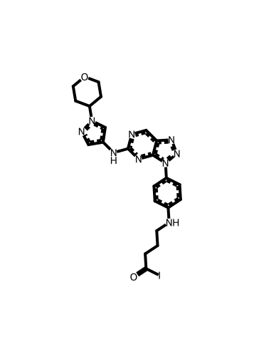 O=C(I)CCCNc1ccc(-n2nnc3cnc(Nc4cnn(C5CCOCC5)c4)nc32)cc1